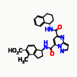 Cc1c(C(=O)O)ccc2c1CC[C@@H]2NC(=O)c1cc(C(=O)N[C@H]2CCCc3ccccc32)nc2ccnn12